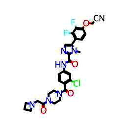 Cn1c(-c2ccc(OCC#N)c(F)c2F)cnc1C(=O)Nc1ccc(C(=O)N2CCN(C(=O)CN3CCC3)CC2)c(Cl)c1